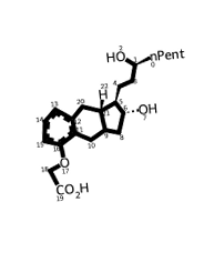 CCCCC[C@H](O)CC[C@H]1[C@H](O)CC2Cc3c(cccc3OCC(=O)O)C[C@@H]21